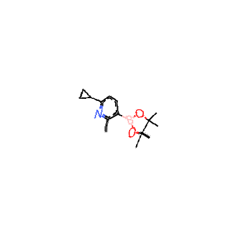 Cc1nc(C2CC2)ccc1B1OC(C)(C)C(C)(C)O1